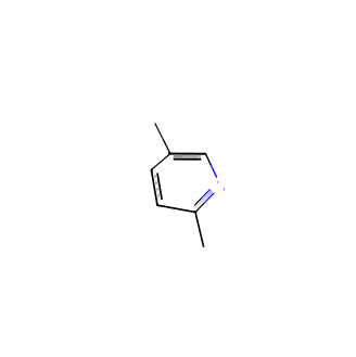 Cc1[c][c]c(C(F)(F)F)[c]n1